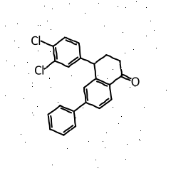 O=C1CCC(c2ccc(Cl)c(Cl)c2)c2cc(-c3ccccc3)ccc21